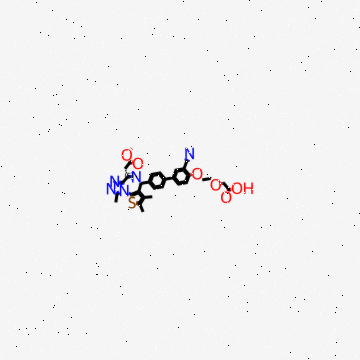 COC(=O)C[C@@H]1N=C(c2ccc(-c3ccc(OCCOCC(=O)O)c(C#N)c3)cc2)c2c(sc(C)c2C)-n2c(C)nnc21